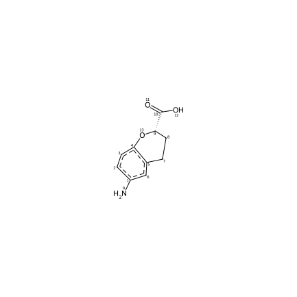 Nc1ccc2c(c1)CC[C@@H](C(=O)O)O2